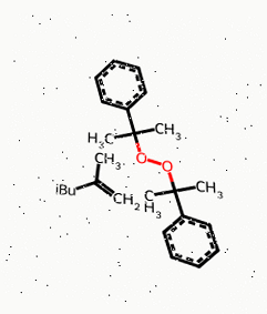 C=C(C)C(C)CC.CC(C)(OOC(C)(C)c1ccccc1)c1ccccc1